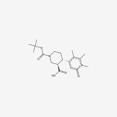 Cc1c([C@H]2CCN(C(=O)OC(C)(C)C)C[C@@H]2C(=O)O)cc(=O)n(C)c1C